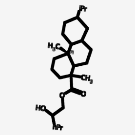 CCCC(O)COC(=O)C1(C)CCC[C@]2(C)C3CCC(C(C)C)CC3CCC12